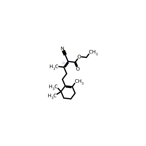 CCOC(=O)/C(C#N)=C(/C)CCC1=C(C)CCCC1(C)C